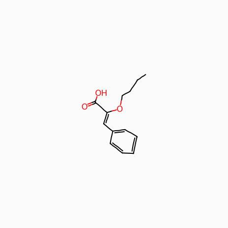 CCCCOC(=Cc1ccccc1)C(=O)O